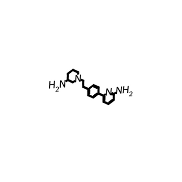 Nc1cccc(-c2ccc(CCN3CCCC(N)C3)cc2)n1